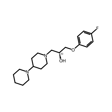 O[C@H](COc1ccc(F)cc1)CN1CCC(N2CCCCC2)CC1